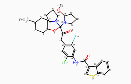 CCOC(=O)C1CCC(OC(C(=O)Cc2cc(Cl)c(NC(=O)c3csc4ccccc34)cc2F)(N2CCCC2)N2CCCC2OCC)CC1